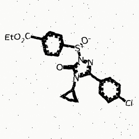 CCOC(=O)c1ccc([S+]([O-])n2nc(-c3ccc(Cl)cc3)n(C3CC3)c2=O)cc1